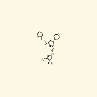 Cc1cc(N/N=C/c2cc(N3CCOCC3)cc(OCCc3ccccn3)n2)oc1C